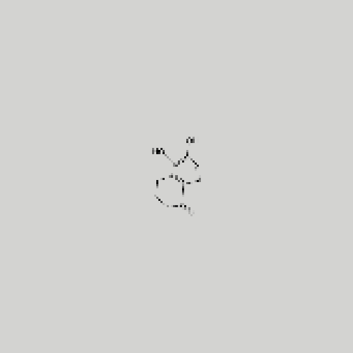 O=C1CCCc2c1ccc(O)c2O